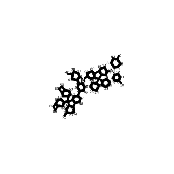 Cc1ccc(N(c2ccc(C)cc2)c2ccc3c(c2)C(c2ccccc2)(c2ccccc2)c2cc(-n4c5ccc(C)cc5c5cc(-c6ccc7c(c6)C(c6ccc8c(c6)CC8)(c6ccc8c(c6)CC8)c6cc(C)ccc6-7)ccc54)ccc2-3)cc1